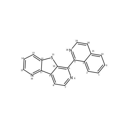 c1ccc2c(-c3nccc4c3sc3cccnc34)nccc2c1